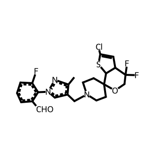 Cc1nn(-c2c(F)cccc2C=O)cc1CN1CCC2(CC1)OCC(F)(F)C1C=C(Cl)SC12